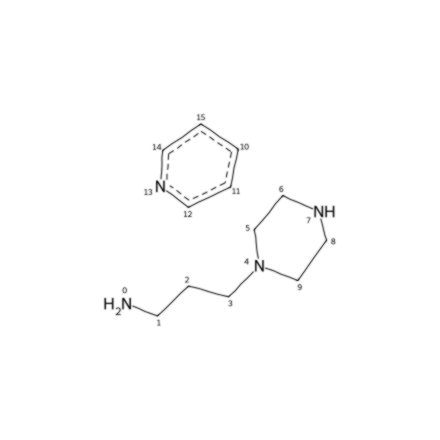 NCCCN1CCNCC1.c1ccncc1